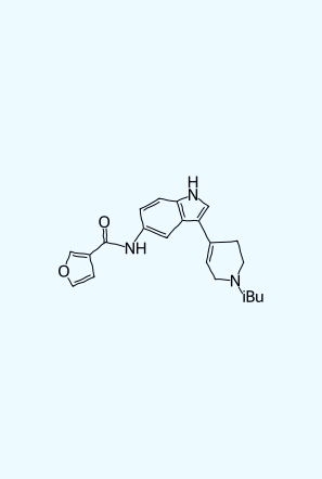 CCC(C)N1CC=C(c2c[nH]c3ccc(NC(=O)c4ccoc4)cc23)CC1